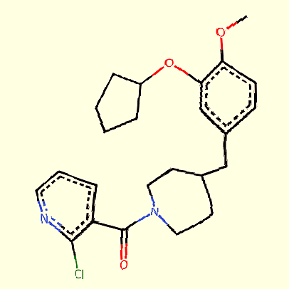 COc1ccc(CC2CCN(C(=O)c3cccnc3Cl)CC2)cc1OC1CCCC1